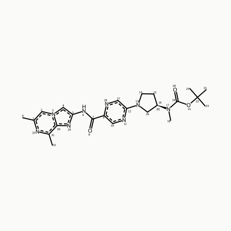 Cc1cn2cc(NC(=O)c3cnc(N4CC[C@@H](N(C)C(=O)OC(C)(C)C)C4)cn3)nc2c(C)n1